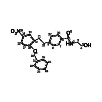 O=C(NCCO)c1ccc(CCc2cc([N+](=O)[O-])ccc2OCc2ccccc2)cc1